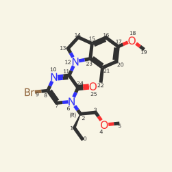 CC[C@H](COC)n1cc(Br)nc(N2CCc3cc(OC)cc(C)c32)c1=O